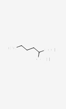 CC(C)(C)CCCC(C(=O)O)C(=O)O